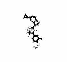 CC(C)(O)C(NC(=O)c1cnn2ccc(C3CC3)nc12)c1ccc(OC(F)(F)F)c(F)c1